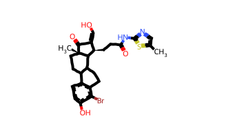 Cc1cnc(NC(=O)CC[C@@H]2/C(=C/O)C(=O)[C@@]3(C)CCC4c5ccc(O)c(Br)c5CCC4C23)s1